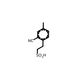 Cc1ccc(CCS(=O)(=O)O)c(C#N)c1